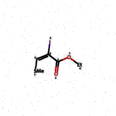 CCOC(=O)/C(I)=C\SC